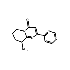 NC1CCCn2c1nc(-c1ccncn1)cc2=O